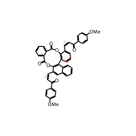 COc1ccc(C(=O)/C=C\c2cc3ccccc3c3c2oc(=O)c2ccccc2c(=O)oc2c(/C=C\C(=O)c4ccc(OC)cc4)cc4ccccc4c23)cc1